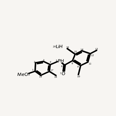 COc1ccc(PC(=O)c2c(C)cc(C)cc2C)c(C)c1.[LiH]